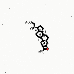 CCCC(=O)OC[C@]12CCC(=O)C=C1C=C[C@@H]1[C@@H]2CC[C@]2(C)[C@@H](C(=O)COC(C)=O)CC[C@@H]12